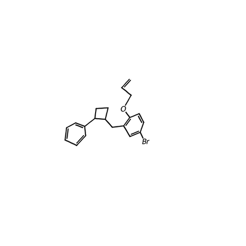 C=CCOc1ccc(Br)cc1CC1CCC1c1ccccc1